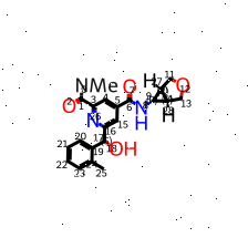 CNC(=O)c1cc(C(=O)N[C@H]2[C@@H]3COC[C@@H]32)cc([C@@H](O)c2ccccc2C)n1